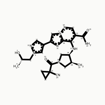 C[C@H](O)Cn1cc(-c2cn3ncc(C(N)=O)c(N[C@@H]4CN(C(=O)C5(C#N)CC5)C[C@@H]4C)c3n2)cn1